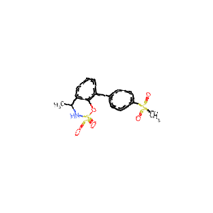 CC1NS(=O)(=O)Oc2c(-c3ccc(S(C)(=O)=O)cc3)cccc21